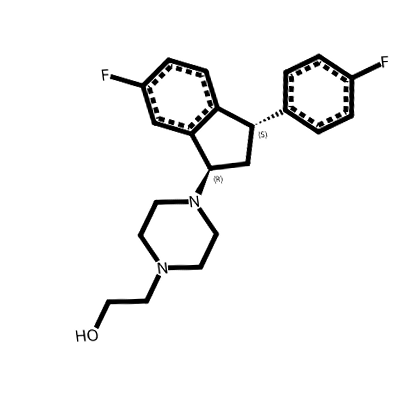 OCCN1CCN([C@@H]2C[C@@H](c3ccc(F)cc3)c3ccc(F)cc32)CC1